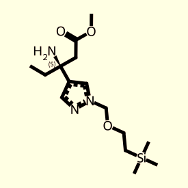 CC[C@](N)(CC(=O)OC)c1cnn(COCC[Si](C)(C)C)c1